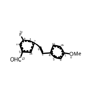 COc1ccc(C=Cc2cc(F)cc(C=O)c2)cc1